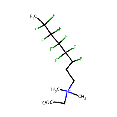 C[N+](C)(CCC(F)C(F)(F)C(F)(F)C(F)(F)C(F)(F)C(F)(F)F)CC(=O)[O-]